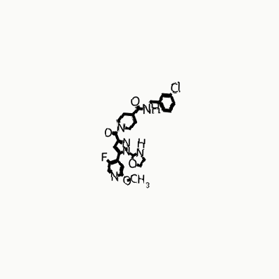 COc1cc(-c2cc(C(=O)N3CCC(C(=O)NCc4cccc(Cl)c4)CC3)nn2C2NCCO2)c(F)cn1